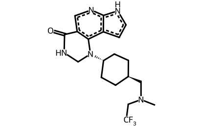 CN(CC(F)(F)F)C[C@H]1CC[C@H](N2CNC(=O)c3cnc4[nH]ccc4c32)CC1